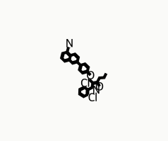 CCCc1onc(-c2c(Cl)cccc2Cl)c1COc1ccc(-c2ccc3c(C#N)cccc3c2)cc1